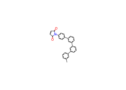 Cc1cccc(-c2cccc(-c3cccc(-c4ccc(N5C(=O)C=CC5=O)cc4)c3)c2)c1